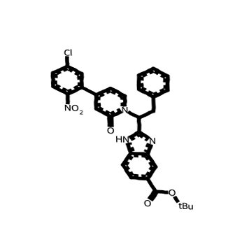 CC(C)(C)OC(=O)c1ccc2[nH]c(C(Cc3ccccc3)n3ccc(-c4cc(Cl)ccc4[N+](=O)[O-])cc3=O)nc2c1